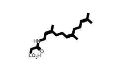 CC(C)=CCCC(C)=CCCC(C)=CCNC(=O)CC(=O)O